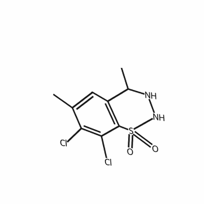 Cc1cc2c(c(Cl)c1Cl)S(=O)(=O)NNC2C